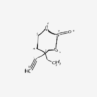 C#CC1(C)CCOS(=O)O1